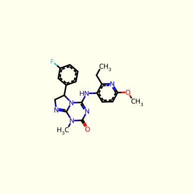 CCc1nc(OC)ccc1NC1=NC(=O)N(C)C2=NCC(c3cccc(F)c3)N12